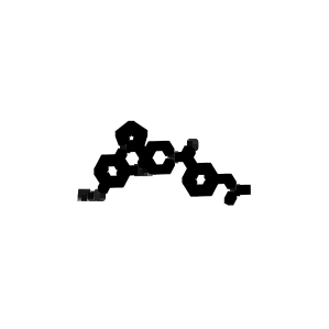 COc1ccc2c(c1)NC1(CCN(C(=O)c3cccc(CN(C)C)c3)CC1)c1cccn1-2